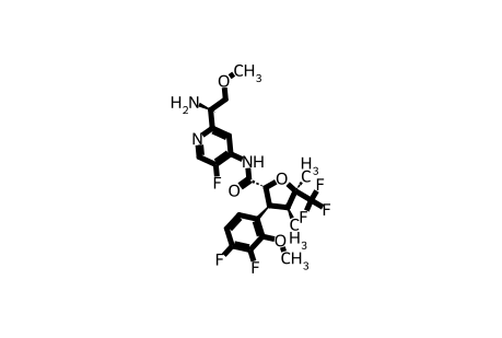 COC[C@H](N)c1cc(NC(=O)[C@@H]2O[C@@](C)(C(F)(F)F)[C@@H](C)[C@H]2c2ccc(F)c(F)c2OC)c(F)cn1